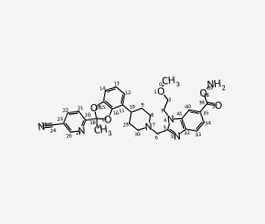 COCCn1c(CN2CCC(c3cccc4c3OC(C)(c3ccc(C#N)cn3)O4)CC2)nc2ccc(C(=O)ON)cc21